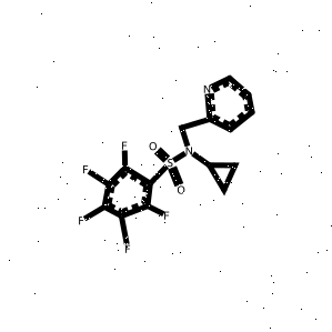 O=S(=O)(c1c(F)c(F)c(F)c(F)c1F)N(Cc1ccccn1)C1CC1